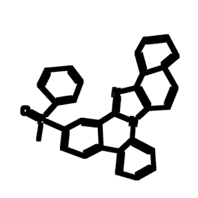 CP(=O)(c1ccccc1)c1ccc2c3ccccc3n3c4ccc5ccccc5c4nc3c2c1